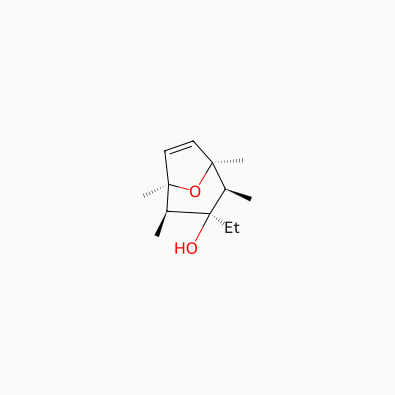 CC[C@]1(O)[C@@H](C)[C@@]2(C)C=C[C@](C)(O2)[C@H]1C